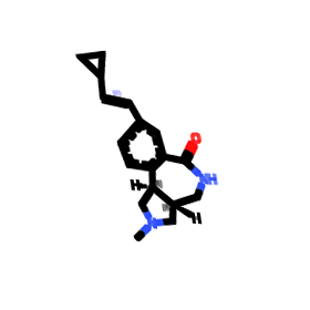 CN1C[C@H]2CNC(=O)c3cc(/C=C/C4CC4)ccc3[C@@H]2C1